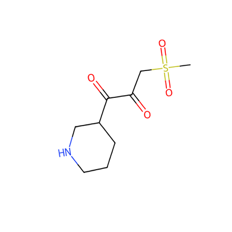 CS(=O)(=O)CC(=O)C(=O)C1CCCNC1